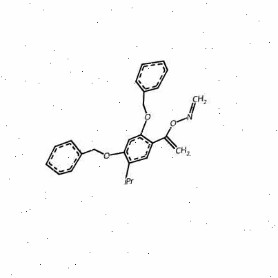 C=NOC(=C)c1cc(C(C)C)c(OCc2ccccc2)cc1OCc1ccccc1